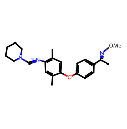 CON=C(C)c1ccc(Oc2cc(C)c(/N=C/N3CCCCC3)cc2C)cc1